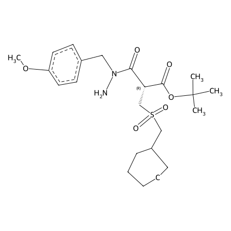 COc1ccc(CN(N)C(=O)[C@@H](CS(=O)(=O)CC2CCCCC2)C(=O)OC(C)(C)C)cc1